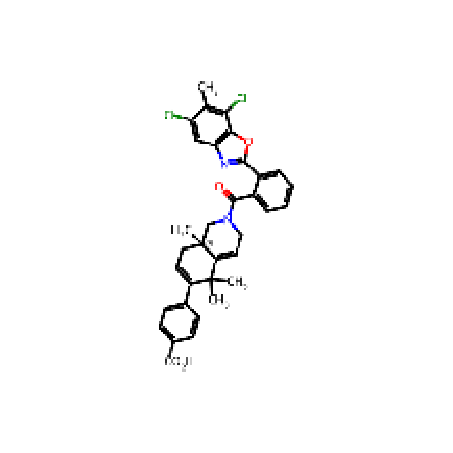 Cc1c(Cl)cc2nc(-c3ccccc3C(=O)N3CC=C4C(C)(C)C(c5ccc(C(=O)O)cc5)=CC[C@]4(C)C3)oc2c1Cl